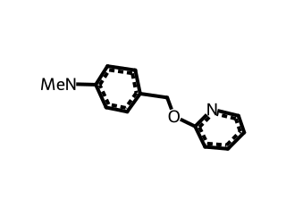 CNc1ccc(COc2ccccn2)cc1